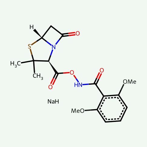 COc1cccc(OC)c1C(=O)NOC(=O)[C@@H]1N2C(=O)C[C@H]2SC1(C)C.[NaH]